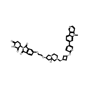 Cn1c2ccncc2c2ccc(-c3ccc(O[C@H]4C[C@H](CN5CCN6C[C@H](OCCOc7ccc8c(c7)C(=O)N(C7CCC(=O)NC7=O)C8=O)C[C@H]6C5)C4)nc3)cc21